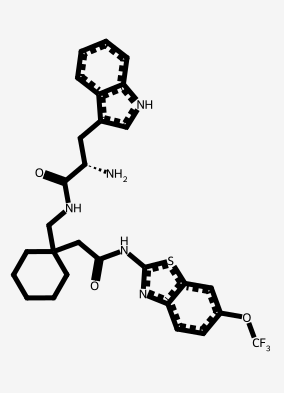 N[C@@H](Cc1c[nH]c2ccccc12)C(=O)NCC1(CC(=O)Nc2nc3ccc(OC(F)(F)F)cc3s2)CCCCC1